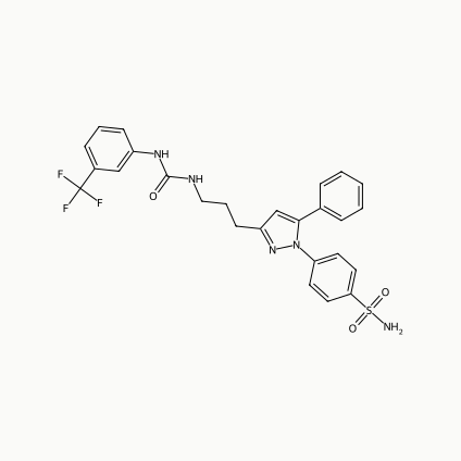 NS(=O)(=O)c1ccc(-n2nc(CCCNC(=O)Nc3cccc(C(F)(F)F)c3)cc2-c2ccccc2)cc1